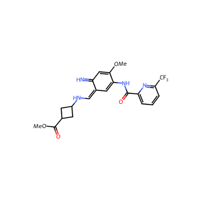 COC(=O)C1CC(N/C=C2/C=C(NC(=O)c3cccc(C(F)(F)F)n3)C(OC)=CC2=N)C1